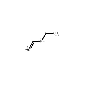 [CH]=CNCC